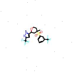 Cn1nc(C(F)(F)F)cc1C1CC(C)(S(=O)(=O)c2cccc(C(F)(F)F)c2)CCO1